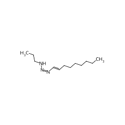 CCCCCCC/C=C/N=N\NCCC